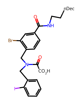 CCCCCCCCCCCCNC(=O)c1ccc(CN(Cc2ccccc2I)C(=O)C(=O)O)c(Br)c1